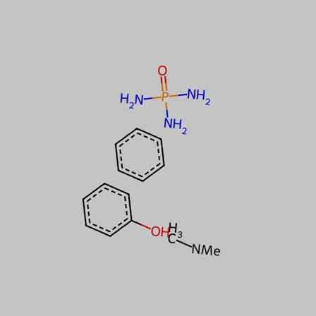 CNC.NP(N)(N)=O.Oc1ccccc1.c1ccccc1